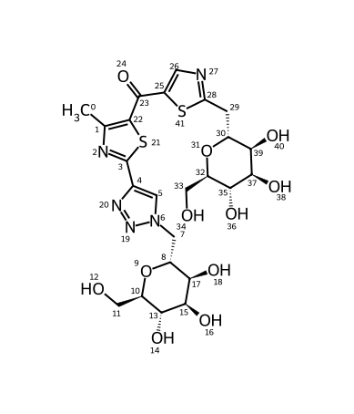 Cc1nc(-c2cn(C[C@H]3O[C@H](CO)[C@@H](O)[C@H](O)[C@@H]3O)nn2)sc1C(=O)c1cnc(C[C@H]2O[C@H](CO)[C@@H](O)[C@H](O)[C@@H]2O)s1